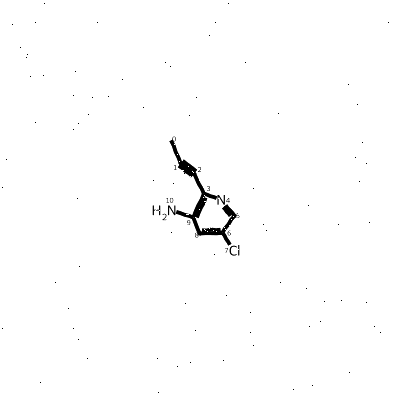 CC#Cc1ncc(Cl)cc1N